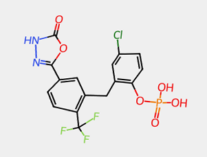 O=c1[nH]nc(-c2ccc(C(F)(F)F)c(Cc3cc(Cl)ccc3OP(=O)(O)O)c2)o1